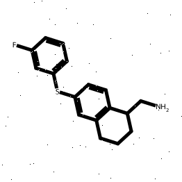 NCC1CCCc2cc(Sc3cccc(F)c3)ccc21